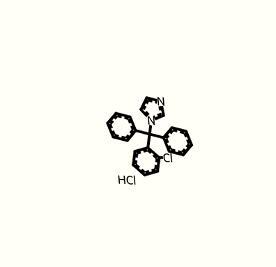 Cl.Clc1ccccc1C(c1ccccc1)(c1ccccc1)n1ccnc1